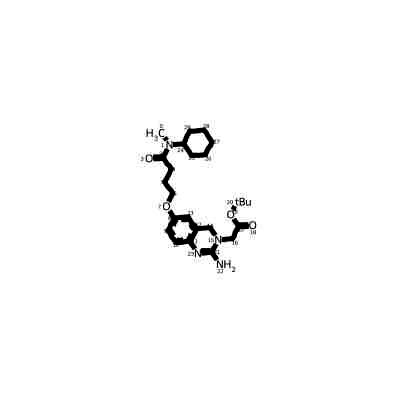 CN(C(=O)CCCOc1ccc2c(c1)CN(CC(=O)OC(C)(C)C)C(N)=N2)C1CCCCC1